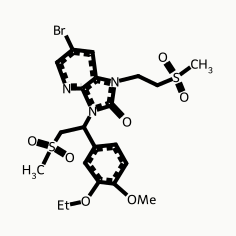 CCOc1cc(C(CS(C)(=O)=O)n2c(=O)n(CCS(C)(=O)=O)c3cc(Br)cnc32)ccc1OC